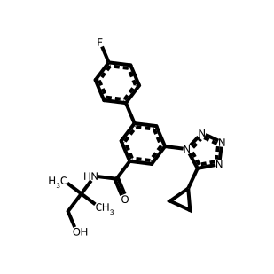 CC(C)(CO)NC(=O)c1cc(-c2ccc(F)cc2)cc(-n2nnnc2C2CC2)c1